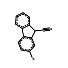 N#CC1c2ccccc2-c2ccc(Br)cc21